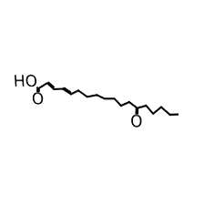 CCCCCC(=O)CCCCCCCC=CC=CC(=O)O